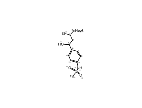 CCCCCCCN(CC)CC(O)c1ccc(NS(=O)(=O)CC)cc1